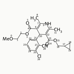 COCCOC(=O)C1=C(C)NC(C)=C(C(=O)OCC2CC2)C1c1cccc(Cl)c1C#N